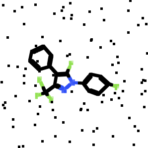 Fc1ccc(-n2nc(C(F)(F)F)c(-c3ccccc3)c2F)cc1